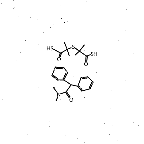 CC(C)(SC(C)(C)C(=O)S)C(=O)S.CN(C)C(=O)C(c1ccccc1)c1ccccc1